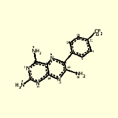 Nc1nc(N)c2nc(-c3ccc(C(F)(F)F)cc3)c(N)nc2n1